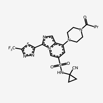 CC(C)C(=O)N1CCN(c2cc(S(=O)(=O)NC3(C#N)CC3)cn3c(-c4nnc(C(F)(F)F)s4)ncc23)CC1